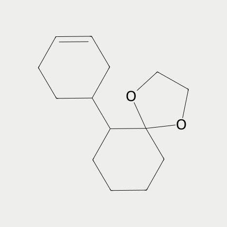 C1=CCC(C2CCCCC23OCCO3)CC1